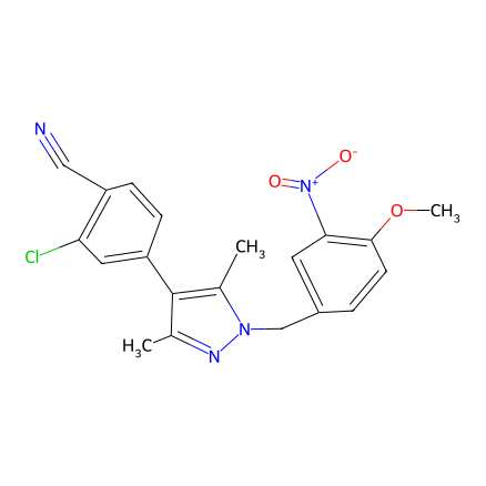 COc1ccc(Cn2nc(C)c(-c3ccc(C#N)c(Cl)c3)c2C)cc1[N+](=O)[O-]